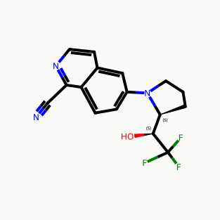 N#Cc1nccc2cc(N3CCC[C@H]3[C@H](O)C(F)(F)F)ccc12